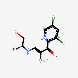 CCOC(=O)C(=CN[C@H](CO)C(C)C)C(=O)c1ncc(Cl)cc1Cl